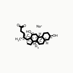 C[C@H](CCC(=O)[O-])[C@H]1CC[C@H]2[C@]3(C)CC[C@@H]4C[C@H](O)CC[C@]4(C)[C@H]3C[C@H](O)[C@]12C.[Na+]